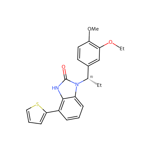 CCOc1cc([C@H](CC)n2c(=O)[nH]c3c(-c4cccs4)cccc32)ccc1OC